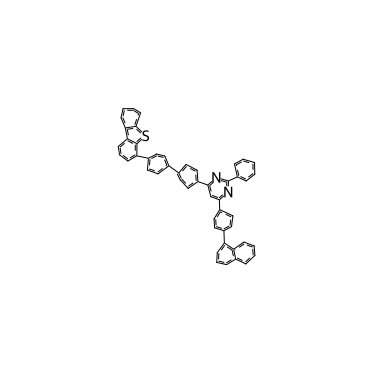 c1ccc(-c2nc(-c3ccc(-c4ccc(-c5cccc6c5sc5ccccc56)cc4)cc3)cc(-c3ccc(-c4cccc5ccccc45)cc3)n2)cc1